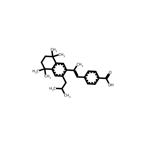 CC(=Cc1ccc(C(=O)O)cc1)c1cc2c(cc1CC(C)C)C(C)(C)CCC2(C)C